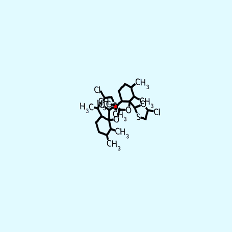 CC(C)C1CCC(C)C(C)C1(OC(=O)OC1(C2OC(Cl)CS2)C(C)C(C)CCC1C(C)C)C1OC(Cl)CS1